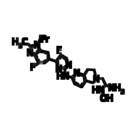 Cc1nc2c(F)cc(-c3nc(Nc4ccc5c(n4)CCN(CC(N)NO)C5)ncc3F)cc2n1C(C)C